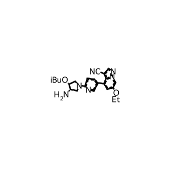 CCOc1cc(-c2ccc(N3C[C@@H](N)[C@H](OCC(C)C)C3)nc2)c2c(C#N)cnn2c1